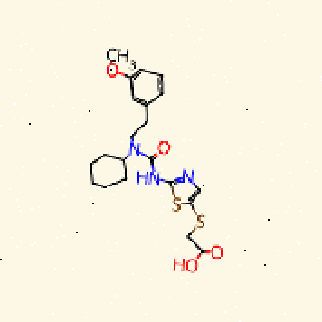 COc1cccc(CCN(C(=O)Nc2ncc(SCC(=O)O)s2)C2CCCCC2)c1